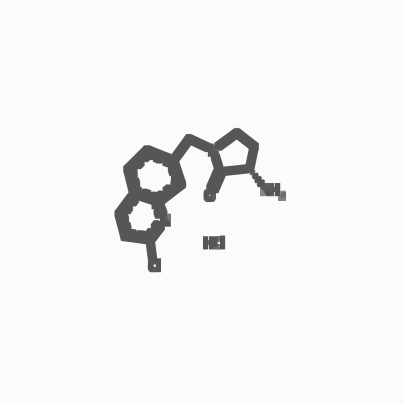 Cl.N[C@H]1CCN(Cc2ccc3ccc(Cl)nc3c2)C1=O